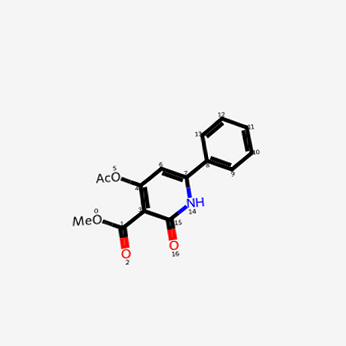 COC(=O)c1c(OC(C)=O)cc(-c2ccccc2)[nH]c1=O